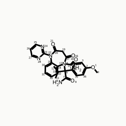 COc1ccc(C(C(N)=O)(C(C)C)[N+]2(C(N)=O)C(=O)[CH]C(=O)N(c3ncccn3)c3ccccc32)cc1